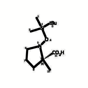 CC(C)(C)[Si](C)(C)ON1CCC[C@@]1(C)C(=O)O